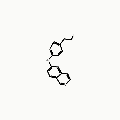 FCCc1ccc(Nc2ccc3cnccc3c2)nc1